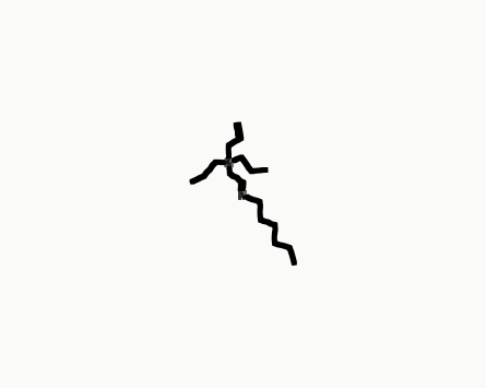 C=CC[Si](CC=NCCCCCC)(CCC)CCC